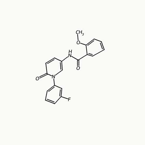 COc1ccccc1C(=O)Nc1ccc(=O)n(-c2cccc(F)c2)c1